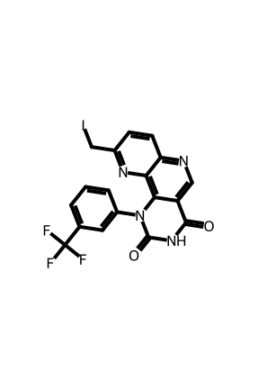 O=c1[nH]c(=O)n(-c2cccc(C(F)(F)F)c2)c2c1cnc1ccc(CI)nc12